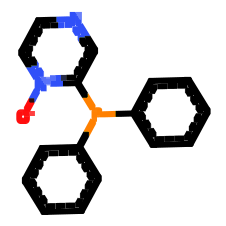 [O-][n+]1ccncc1P(c1ccccc1)c1ccccc1